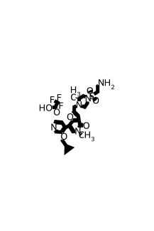 C[C@@H]1CN(S(=O)(=O)CCN)CCN1Cc1cc2c(=O)n(C)cc(-c3ccncc3OCC3CC3)c2o1.O=C(O)C(F)(F)F